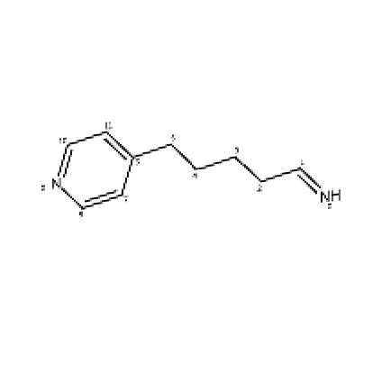 N=CCCCCc1ccncc1